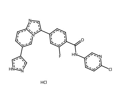 Cl.O=C(Nc1ccc(Cl)nc1)c1ccc(-c2cnc3ccc(-c4cn[nH]c4)cn23)cc1F